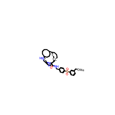 COCc1cccc(S(=O)(=O)c2ccc(CNC(=O)C34CC5CNC6(CCCCC(CCC6)C6CCCCC3CCC6)CC5N4)cc2)c1